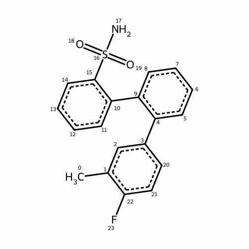 Cc1cc(-c2ccccc2-c2ccccc2S(N)(=O)=O)ccc1F